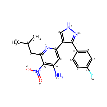 CC(C)Cc1nc(-c2c[nH]nc2-c2ccc(F)cc2)cc(N)c1[N+](=O)[O-]